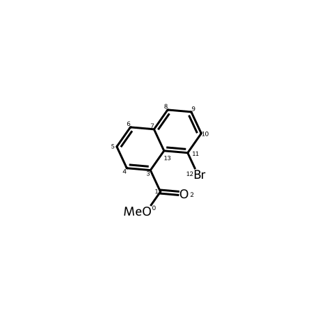 COC(=O)c1cccc2cccc(Br)c12